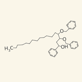 CCCCCCCCCCCCCC(OCc1ccccc1)C(CC(O)c1ccccc1)OCc1ccccc1